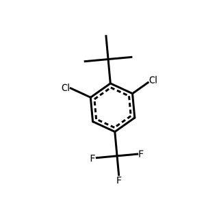 CC(C)(C)c1c(Cl)cc(C(F)(F)F)cc1Cl